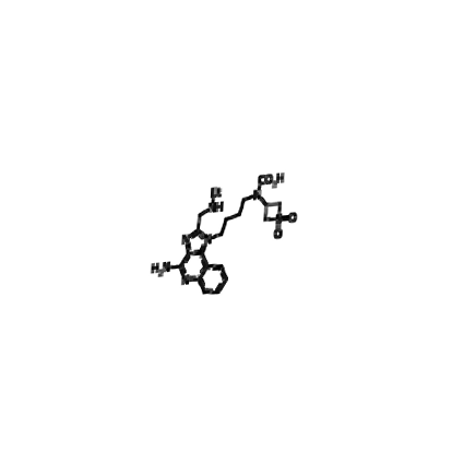 CCNCc1nc2c(N)nc3ccccc3c2n1CCCCN(C(=O)O)C1CS(=O)(=O)C1